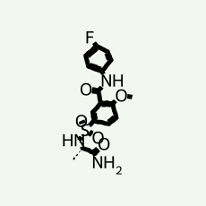 COc1ccc(S(=O)(=O)N[C@@H](C)C(N)=O)cc1C(=O)Nc1ccc(F)cc1